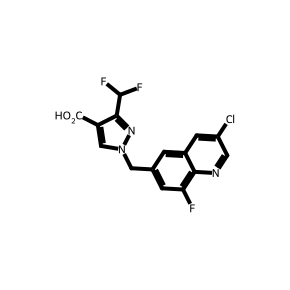 O=C(O)c1cn(Cc2cc(F)c3ncc(Cl)cc3c2)nc1C(F)F